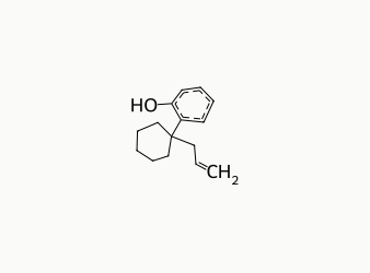 C=CCC1(c2ccccc2O)CCCCC1